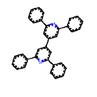 c1ccc(-c2cc(-c3cc(-c4ccccc4)nc(-c4ccccc4)c3)cc(-c3ccccc3)n2)cc1